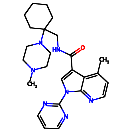 Cc1ccnc2c1c(C(=O)NCC1(N3CCN(C)CC3)CCCCC1)cn2-c1ncccn1